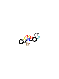 CS(=O)(=O)N(Cc1ccc(F)c(C(F)(F)F)c1)c1sc2ccccc2c1Br